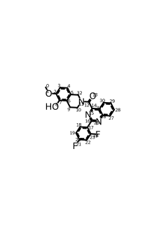 COc1ccc2c(c1O)CCN(C(=O)c1nc(-c3ccc(F)cc3F)nc3ccccc13)C2